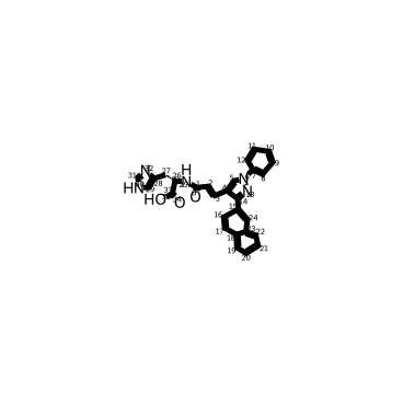 O=C(C=Cc1cn(-c2ccccc2)nc1-c1ccc2ccccc2c1)N[C@@H](Cc1c[nH]cn1)C(=O)O